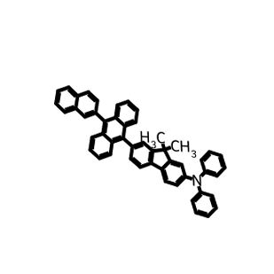 CC1(C)c2cc(-c3c4ccccc4c(-c4ccc5ccccc5c4)c4ccccc34)ccc2-c2ccc(N(c3ccccc3)c3ccccc3)cc21